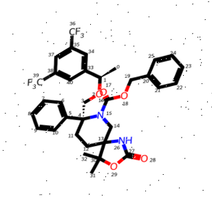 C[C@@H](OC[C@@]1(c2ccccc2)CCC2(CN1C(=O)OCc1ccccc1)NC(=O)OC2(C)C)c1cc(C(F)(F)F)cc(C(F)(F)F)c1